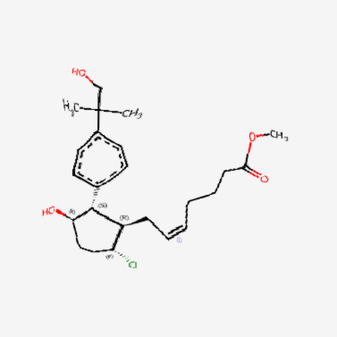 COC(=O)CCC/C=C\C[C@@H]1[C@@H](c2ccc(C(C)(C)CO)cc2)[C@H](O)C[C@H]1Cl